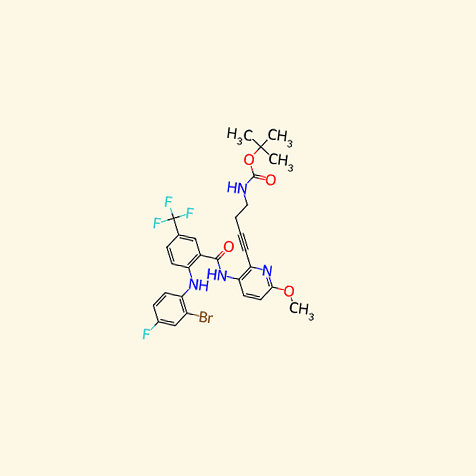 COc1ccc(NC(=O)c2cc(C(F)(F)F)ccc2Nc2ccc(F)cc2Br)c(C#CCCNC(=O)OC(C)(C)C)n1